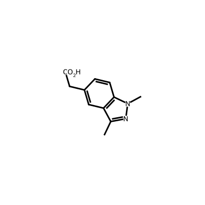 Cc1nn(C)c2ccc(CC(=O)O)cc12